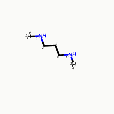 [2H]NCCCN[2H]